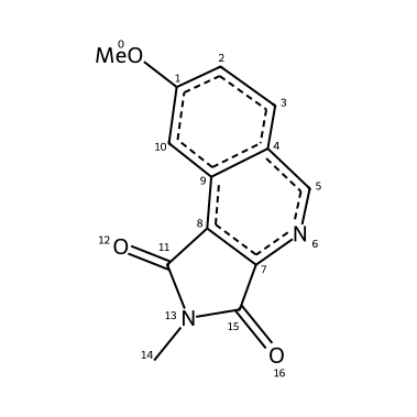 COc1ccc2cnc3c(c2c1)C(=O)N(C)C3=O